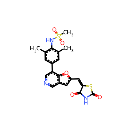 Cc1cc(-c2cncc3cc(/C=C4/SC(=O)NC4=O)oc23)cc(C)c1NS(C)(=O)=O